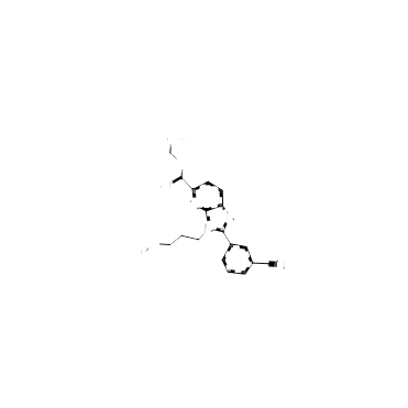 CCOC(=O)c1ccc2nc(-c3cccc(C#N)c3)n(CCCOC)c2n1